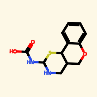 O=C(O)NC1NCC2COc3ccccc3C2S1